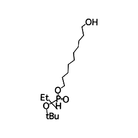 CCC(C)(OC(C)(C)C)[PH](=O)OCCCCCCCCCCO